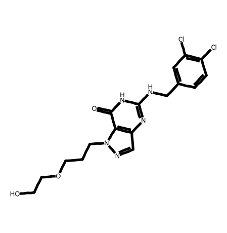 O=c1[nH]c(NCc2ccc(Cl)c(Cl)c2)nc2cnn(CCCOCCO)c12